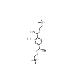 C[N+](C)(C)CCCC(O)c1ccc(C(O)CCC[N+](C)(C)C)cc1.[I-].[I-]